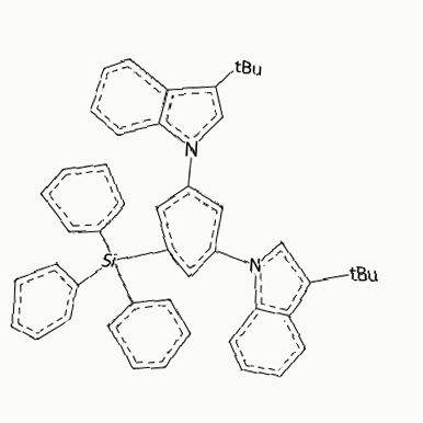 CC(C)(C)c1cn(-c2cc(-n3cc(C(C)(C)C)c4ccccc43)cc([Si](c3ccccc3)(c3ccccc3)c3ccccc3)c2)c2ccccc12